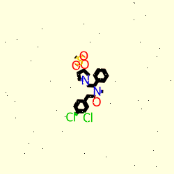 CN(C(=O)Cc1ccc(Cl)c(Cl)c1)C(CN1CC[C@@H](OS(C)(=O)=O)C1)c1ccccc1